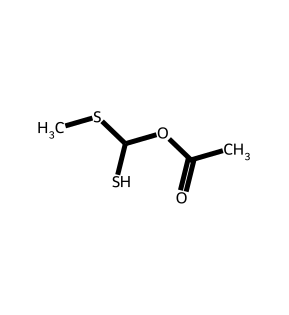 CSC(S)OC(C)=O